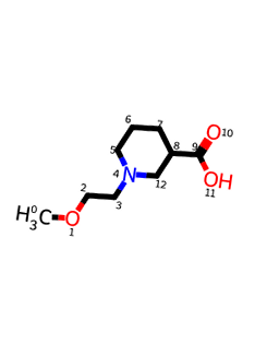 COCCN1CCCC(C(=O)O)C1